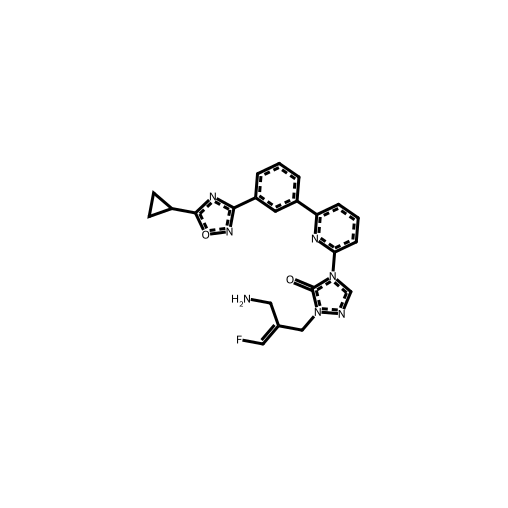 NC/C(=C\F)Cn1ncn(-c2cccc(-c3cccc(-c4noc(C5CC5)n4)c3)n2)c1=O